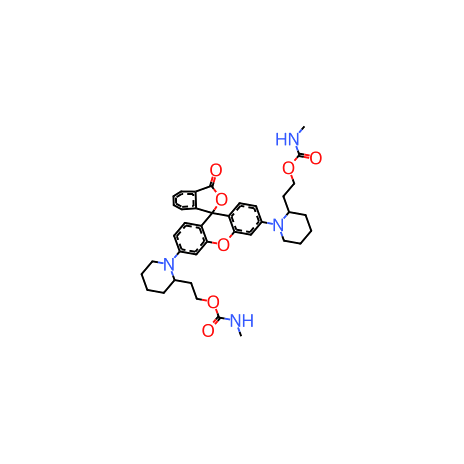 CNC(=O)OCCC1CCCCN1c1ccc2c(c1)Oc1cc(N3CCCCC3CCOC(=O)NC)ccc1C21OC(=O)c2ccccc21